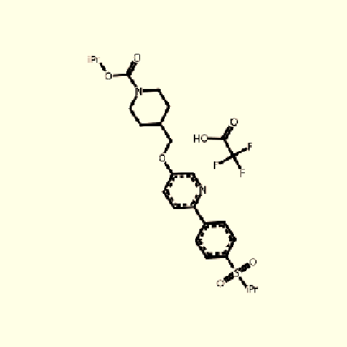 CC(C)OC(=O)N1CCC(COc2ccc(-c3ccc(S(=O)(=O)C(C)C)cc3)nc2)CC1.O=C(O)C(F)(F)F